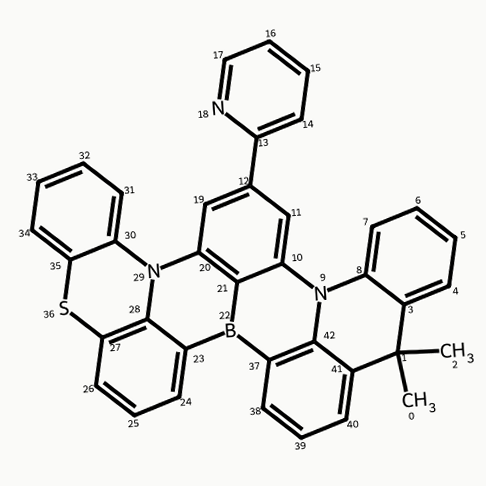 CC1(C)c2ccccc2N2c3cc(-c4ccccn4)cc4c3B(c3cccc5c3N4c3ccccc3S5)c3cccc1c32